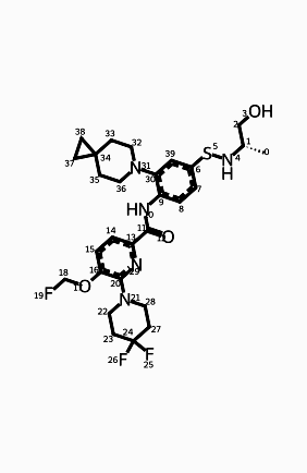 C[C@@H](CO)NSc1ccc(NC(=O)c2ccc(OCF)c(N3CCC(F)(F)CC3)n2)c(N2CCC3(CC2)CC3)c1